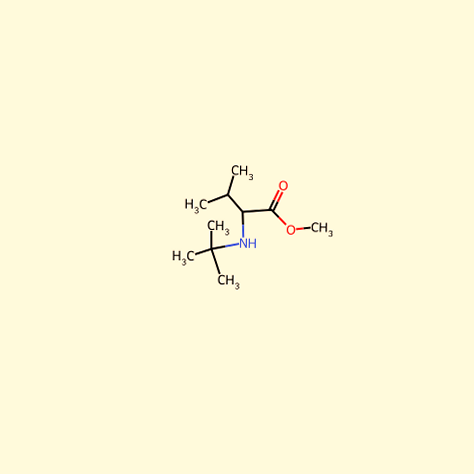 COC(=O)C(NC(C)(C)C)C(C)C